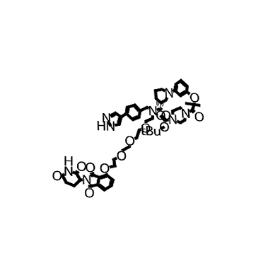 CC(C)(C)OC(=O)N1CCN(C(=O)C(C)(C)Oc2cccc(N3CCC[C@@H](C(=O)N(CCOCCOCCOCCOc4cccc5c4C(=O)N(C4CCC(=O)NC4=O)C5=O)Cc4ccc(-c5cn[nH]c5)cc4)C3)c2)CC1